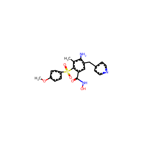 COc1ccc(S(=O)(=O)c2c(C(=O)NO)cc(Cc3ccncc3)c(N)c2C)cc1